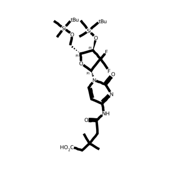 CC(C)(CC(=O)O)CC(=O)Nc1ccn([C@@H]2O[C@H](CO[Si](C)(C)C(C)(C)C)[C@@H](O[Si](C)(C)C(C)(C)C)C2(F)F)c(=O)n1